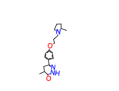 CC1CC(c2ccc(OCCCN3CCCC3C)cc2)=NNC1=O